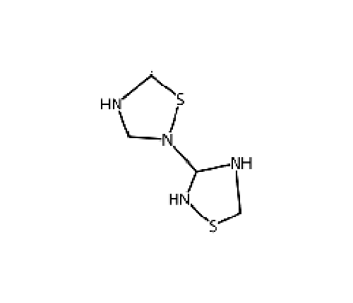 [CH]1NCN(C2NCSN2)S1